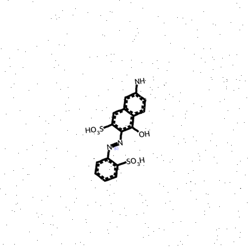 [NH]c1ccc2c(O)c(/N=N/c3ccccc3S(=O)(=O)O)c(S(=O)(=O)O)cc2c1